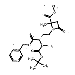 COC(=O)C1(C)CC(=O)N1CC[C@@H](C(=O)OCc1ccccc1)N(C)C(=O)OC(C)(C)C